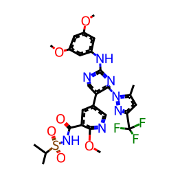 COc1cc(Nc2ncc(-c3cnc(OC)c(C(=O)NS(=O)(=O)C(C)C)c3)c(-n3nc(C(F)(F)F)cc3C)n2)cc(OC)c1